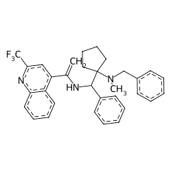 C=C(NC(c1ccccc1)C1(N(C)Cc2ccccc2)CCCC1)c1cc(C(F)(F)F)nc2ccccc12